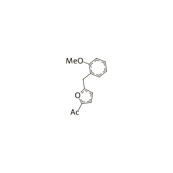 COc1ccccc1Cc1ccc(C(C)=O)o1